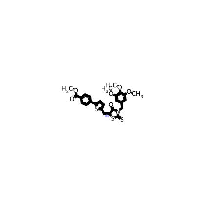 COC(=O)c1ccc(-c2ccc(/C=C3/SC(=S)N(Cc4cc(OC)c(OC)c(OC)c4)C3=O)s2)cc1